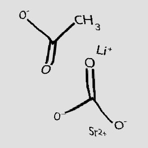 CC(=O)[O-].O=C([O-])[O-].[Li+].[Sr+2]